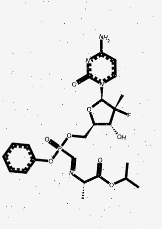 CC(C)OC(=O)[C@H](C)/N=C/P(=O)(OC[C@H]1O[C@@H](n2ccc(N)nc2=O)[C@](C)(F)[C@@H]1O)Oc1ccccc1